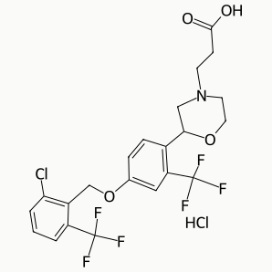 Cl.O=C(O)CCN1CCOC(c2ccc(OCc3c(Cl)cccc3C(F)(F)F)cc2C(F)(F)F)C1